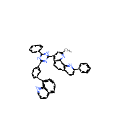 Cc1cc(-c2nc(-c3ccccc3)nc(-c3cccc(-c4cccc5cccnc45)c3)n2)c2ccc3ccc(-c4ccccc4)nc3c2n1